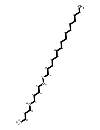 CCCCCCCCCCCCCCCCOOCCCCOCCCN